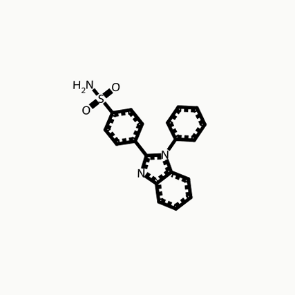 NS(=O)(=O)c1ccc(-c2nc3ccccc3n2-c2ccccc2)cc1